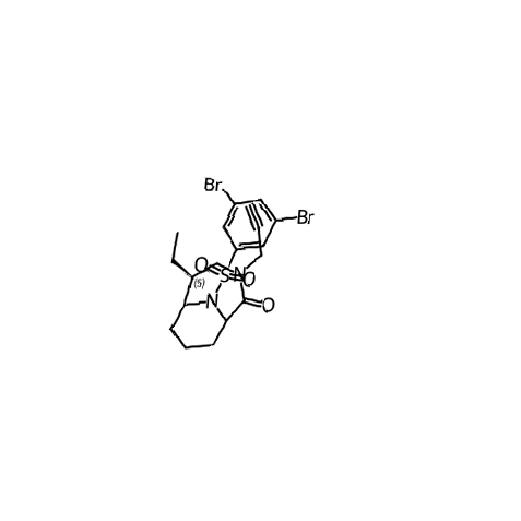 C#CCN1C[C@H](CC)C2CCCC(C1=O)N2S(=O)(=O)c1cc(Br)cc(Br)c1